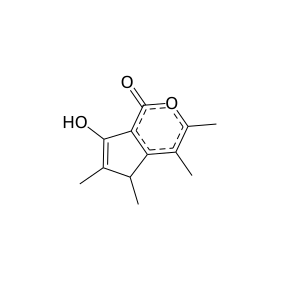 CC1=C(O)c2c(c(C)c(C)oc2=O)C1C